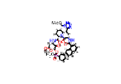 COCn1nnnc1CC[C@H](NC(=O)c1cccc2ccccc12)C(=O)N1CCCC[C@H]1C(=O)N[C@@H](CC(=O)OC(C)(C)C)C(=O)COP(C)(=O)c1ccccc1